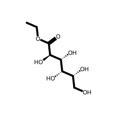 CCOC(=O)[C@H](O)[C@H](O)[C@@H](O)[C@H](O)CO